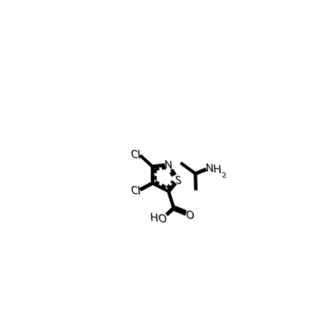 CC(C)N.O=C(O)c1snc(Cl)c1Cl